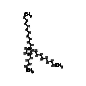 CCCCCCCCCCCn1cc[n+](CCCCC)c1CCCCCCCCC